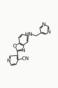 N#Cc1ccncc1-c1nc2cc(NCc3cncnc3)ccc2o1